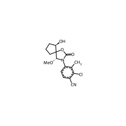 CO[C@H]1N(c2ccc(C#N)c(Cl)c2C)C(=O)OC12CCC[C@H]2O